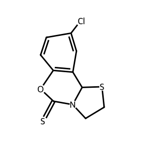 S=C1Oc2ccc(Cl)cc2C2SCCN12